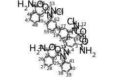 NC(=O)c1ccccc1C1(Cl)OCN(Cl)N1c1ccccc1.NC(=O)c1ccccc1C1OC=NN1c1ccccc1.NC(=O)c1ccccc1C1OCN(Cl)N1c1ccccc1